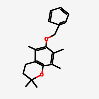 Cc1c(C)c2c(c(C)c1OCc1ccccc1)CCC(C)(C)O2